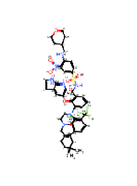 CC1(C)CCC(CN2CCN(c3cccc(C(=O)NS(=O)(=O)c4ccc(NCC5CCOCC5)c([N+](=O)[O-])c4)c3Oc3cnc4[nH]ccc4c3)CC2)=C(c2ccc(C(F)(F)F)c(Cl)c2)C1